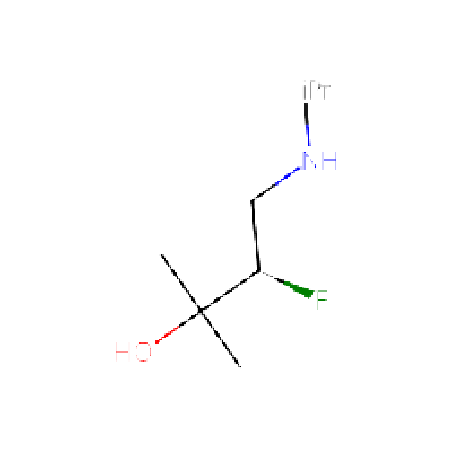 CC(C)NC[C@@H](F)C(C)(C)O